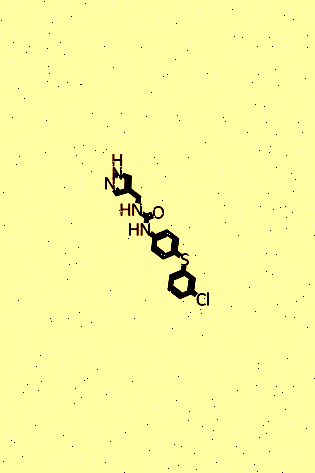 O=C(NCc1cn[nH]c1)Nc1ccc(Sc2cccc(Cl)c2)cc1